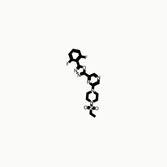 CCS(=O)(=O)N1CCN(c2cncc(-c3nnc(-c4c(F)cccc4F)o3)n2)CC1